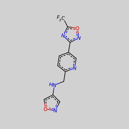 FC(F)(F)c1nc(-c2ccc(CNc3cnoc3)nc2)no1